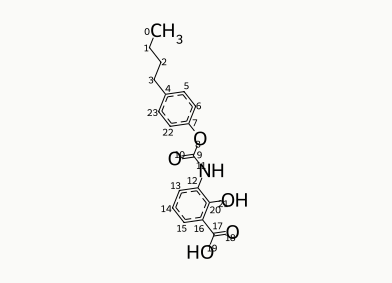 CCCCc1ccc(OC(=O)Nc2cccc(C(=O)O)c2O)cc1